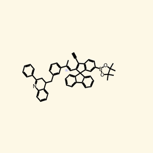 C#CC1=C(/C=C(\C)c2cccc(CC3CC(c4ccccc4)=Nc4ccccc43)c2)C2(c3cc(B4OC(C)(C)C(C)(C)O4)ccc31)c1ccccc1-c1ccccc12